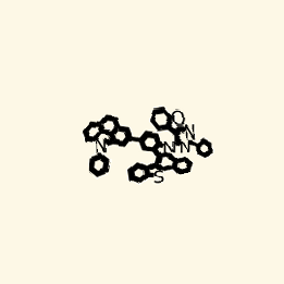 C1=Cc2oc3nc(-c4ccccc4)nc(-n4c5ccc(-c6cc7ccc8cccc9c8c7c(c6)n9-c6ccccc6)cc5c5c6c7ccccc7sc6c6ccccc6c54)c3c2CC1